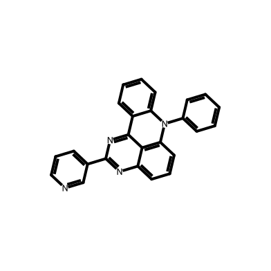 c1ccc(N2c3ccccc3-c3nc(-c4cccnc4)nc4cccc2c34)cc1